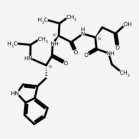 CCNC(=O)[C@H](CC(=O)O)NC(=O)[C@@H](NC(=O)[C@H](Cc1c[nH]c2ccccc12)NC(C)C)C(C)C